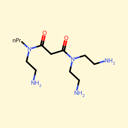 CCCN(CCN)C(=O)CC(=O)N(CCN)CCN